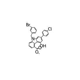 COC(=O)c1cccc2c1c1c(O)cc(-c3ccc(Cl)cc3)cc1n2Cc1cccc(Br)c1